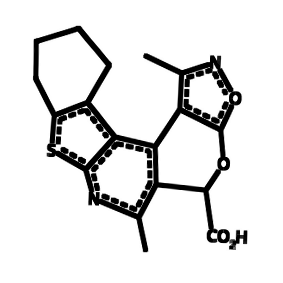 Cc1noc2c1-c1c(c(C)nc3sc4c(c13)CCCC4)C(C(=O)O)O2